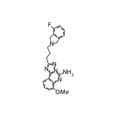 COc1cccc2c1nc(N)n1nc(CCCN3Cc4cccc(F)c4C3)nc21